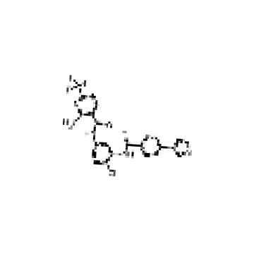 Cc1nc(C(F)(F)F)ccc1C(=O)Nc1ccc(Cl)c(NC(=O)c2ccc(-n3ccnc3)cc2)c1